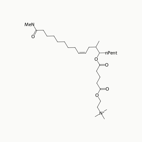 CCCCCC(OC(=O)CCCC(=O)OCC[N+](C)(C)C)C(C)C/C=C\CCCCCCCC(=O)NC